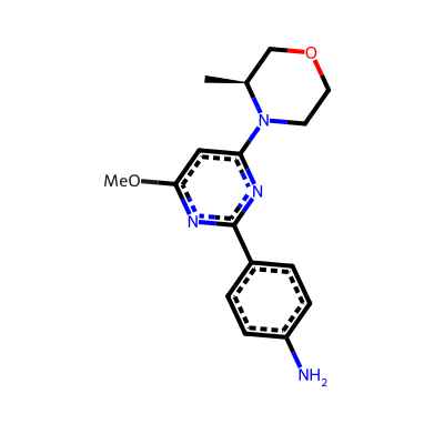 COc1cc(N2CCOC[C@@H]2C)nc(-c2ccc(N)cc2)n1